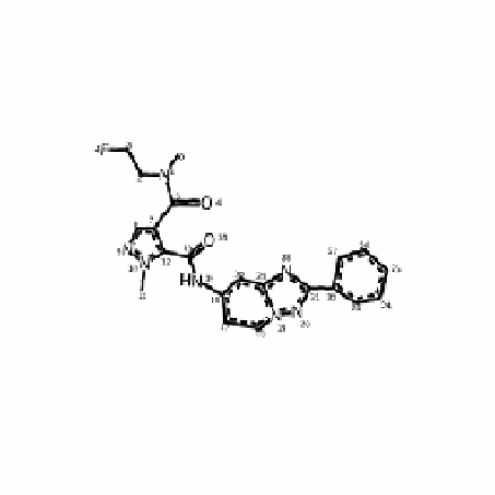 CN(CCF)C(=O)c1cnn(C)c1C(=O)Nc1ccn2nc(-c3ccccc3)nc2c1